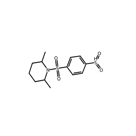 CC1CCCC(C)N1S(=O)(=O)c1ccc([SH](=O)=O)cc1